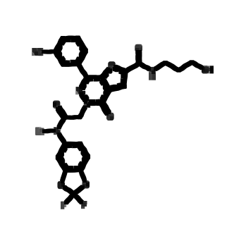 CCN(C(=O)Cn1nc(-c2cccc(C#N)c2)c2oc(C(=O)NCCCO)cc2c1=O)c1ccc2c(c1)OC(F)(F)O2